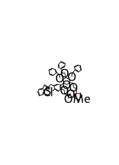 COC(=O)COc1cc(Cl)c(Cc2cc3ccccc3s2)cc1[C@@H]1O[C@H](COCc2ccccc2)[C@@H](OCc2ccccc2)[C@H](OCc2ccccc2)[C@H]1OCc1ccccc1